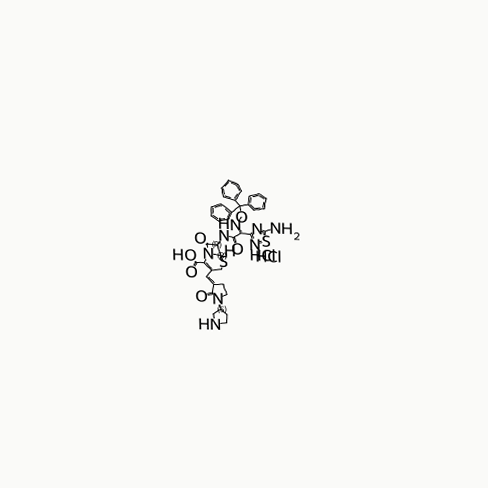 Cl.Cl.Nc1nc(C(=NOC(c2ccccc2)(c2ccccc2)c2ccccc2)C(=O)N[C@@H]2C(=O)N3C(C(=O)O)=C(C=C4CCN([C@H]5CCNC5)C4=O)CS[C@H]23)ns1